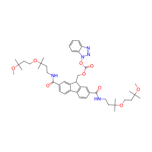 COC(C)(C)CCOC(C)(C)CCNC(=O)c1ccc2c(c1)C(COC(=O)On1nnc3ccccc31)c1cc(C(=O)NCCC(C)(C)OCCC(C)(C)OC)ccc1-2